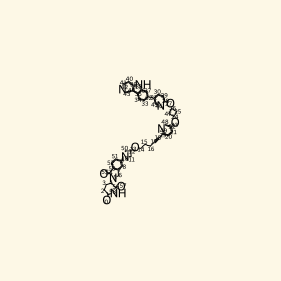 O=C1CCC(N2Cc3cc(N4CC(OCCCC#Cc5ccc(O[C@H]6C[C@H](Oc7ccc(-c8ccc9c(c8)[nH]c8ccncc89)cn7)C6)cn5)C4)ccc3C2=O)C(=O)N1